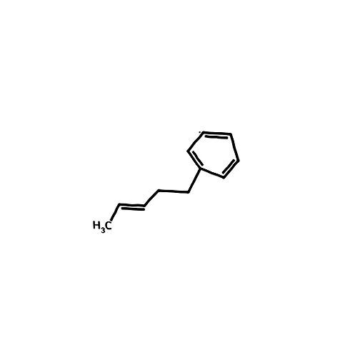 CC=CCCc1c[c]ccc1